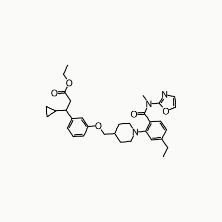 CCOC(=O)CC(c1cccc(OCC2CCN(c3cc(CC)ccc3C(=O)N(C)c3ncco3)CC2)c1)C1CC1